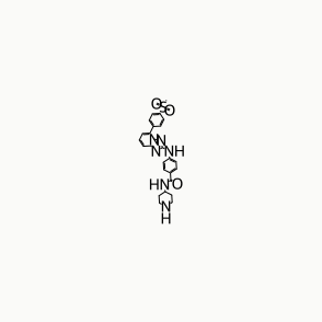 CS(=O)(=O)c1ccc(-c2cccc3nc(Nc4ccc(C(=O)NC5CCNCC5)cc4)nn23)cc1